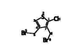 Clc1scc(CBr)c1CBr